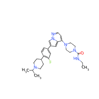 CCNC(=O)N1CCN(c2ccnn3cc(-c4ccc(C5CCN(C(C)C)CC5)c(F)c4)cc23)CC1